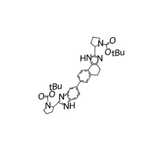 CC(C)(C)OC(=O)N1CCCC1c1nc2c([nH]1)-c1ccc(-c3ccc4[nH]c(C5CCCN5C(=O)OC(C)(C)C)nc4c3)cc1CC2